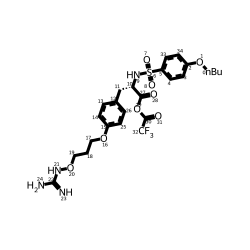 CCCCOc1ccc(S(=O)(=O)N[C@@H](Cc2ccc(OCCCONC(=N)N)cc2)C(=O)OC(=O)C(F)(F)F)cc1